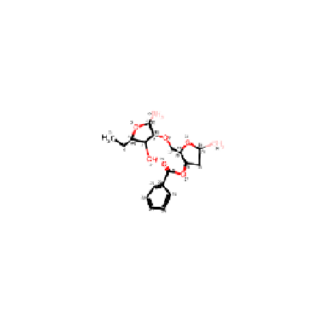 B[C@@H]1O[C@H](CC)C(O)[C@@H]1OC[C@H]1O[C@@H](B)CC1OC(=O)c1ccccc1